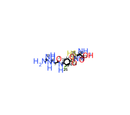 N=C(N)NNCC(=O)NC1CCC(S(=O)(=O)N/C(S)=C(/N)C(=O)O)C=C1F